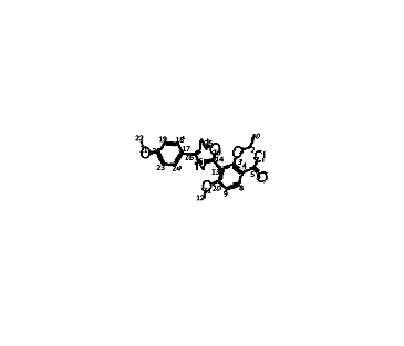 CCOc1c(C(=O)Cl)ccc(OC)c1-c1nc(-c2ccc(OC)cc2)no1